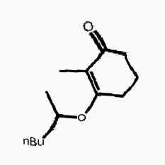 CCCCC(C)OC1=C(C)C(=O)CCC1